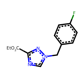 CCOC(=O)c1ncn(Cc2ccc(F)cc2)n1